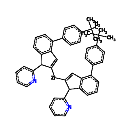 CC(C)(C)c1ccc(-c2cccc3c2C=[C]([Zr][C]2=Cc4c(-c5ccc(C(C)(C)C)cc5)cccc4C2c2ccccn2)C3c2ccccn2)cc1